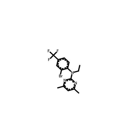 CCN(c1nc(C)cc(C)n1)c1ccc(C(F)(F)F)cc1Br